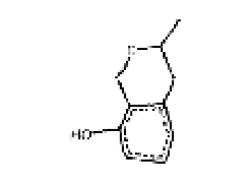 CC1Cc2cccc(O)c2CO1